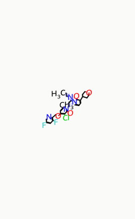 C/C=C/N=C(\C=C\n1c(C)cc(OCc2ncc(F)cc2F)c(Cl)c1=O)n1cccc(C2CCOCC2)c1=O